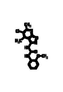 Cc1nc2onc(NC(=O)Nc3ccccc3OC(F)(F)F)c2c(C)c1Cl